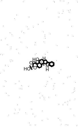 CC(C)(O)[C@H]1OC2=CC[C@]3(C)[C@@]4(C)c5[nH]c6ccccc6c5C[C@@H]4C[C@H](O)[C@@]3(O)C2=CC1=O